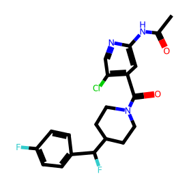 CC(=O)Nc1cc(C(=O)N2CCC(C(F)c3ccc(F)cc3)CC2)c(Cl)cn1